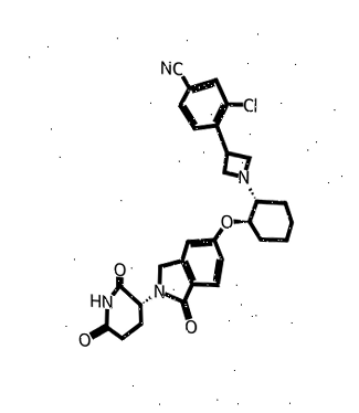 N#Cc1ccc(C2CN([C@@H]3CCCC[C@H]3Oc3ccc4c(c3)CN([C@@H]3CCC(=O)NC3=O)C4=O)C2)c(Cl)c1